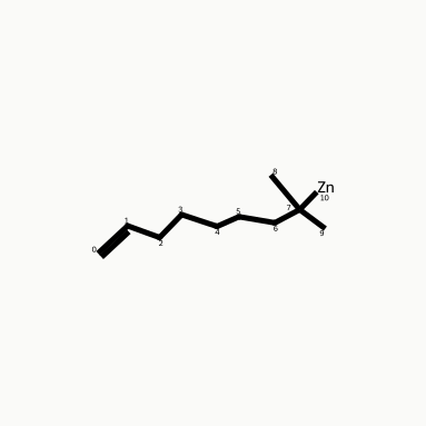 C=CCCCCC[C](C)(C)[Zn]